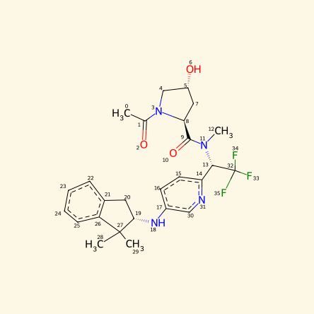 CC(=O)N1C[C@H](O)C[C@H]1C(=O)N(C)[C@@H](c1ccc(N[C@H]2Cc3ccccc3C2(C)C)cn1)C(F)(F)F